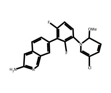 COC1C=CC(Cl)=CN1c1ccc(F)c(-c2ccc3cc(N)ncc3c2)c1F